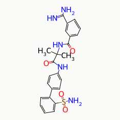 CC(C)(NC(=O)c1cccc(C(=N)N)c1)C(=O)Nc1ccc(-c2ccccc2S(N)(=O)=O)cc1